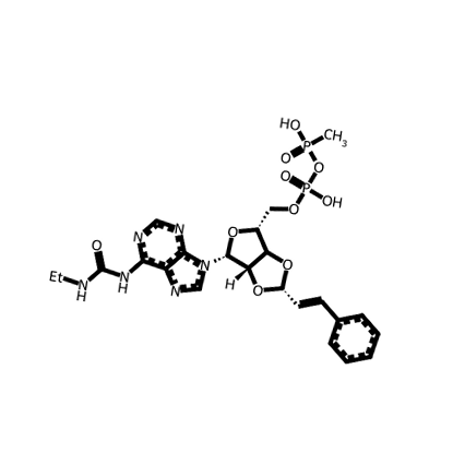 CCNC(=O)Nc1ncnc2c1ncn2[C@@H]1O[C@H](COP(=O)(O)OP(C)(=O)O)C2O[C@H](/C=C/c3ccccc3)O[C@@H]21